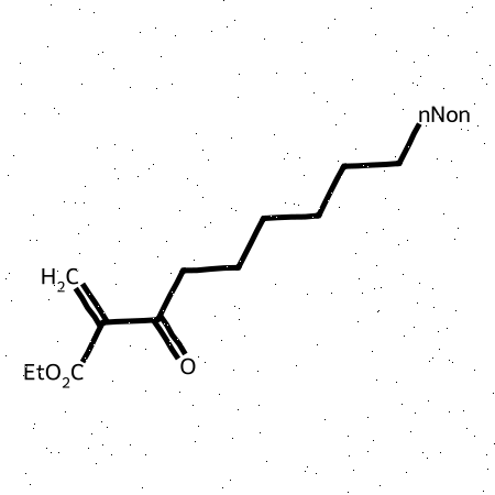 C=C(C(=O)CCCCCCCCCCCCCCC)C(=O)OCC